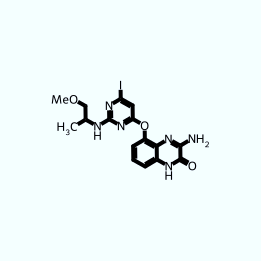 COCC(C)Nc1nc(I)cc(Oc2cccc3[nH]c(=O)c(N)nc23)n1